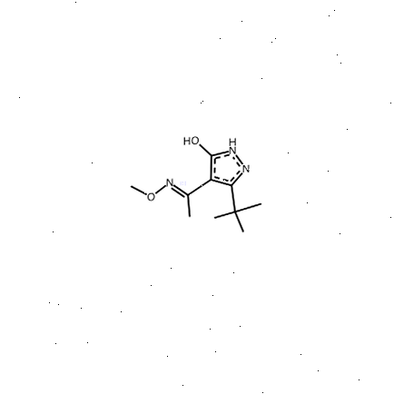 CO/N=C(\C)c1c(C(C)(C)C)n[nH]c1O